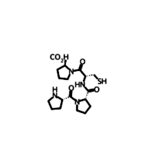 O=C(O)[C@@H]1CCCN1C(=O)[C@H](CS)NC(=O)[C@@H]1CCCN1C(=O)[C@@H]1CCCN1